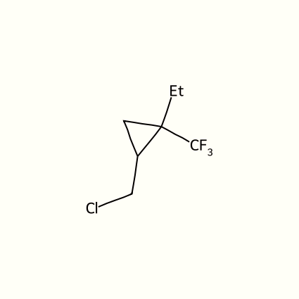 CCC1(C(F)(F)F)CC1CCl